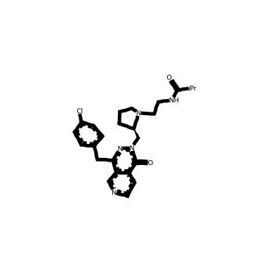 CC(C)C(=O)NCCN1CCC[C@@H]1Cn1nc(Cc2ccc(Cl)cc2)c2cnccc2c1=O